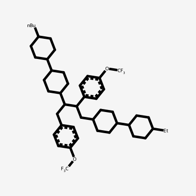 CCCCC1CCC(C2CCC(C(Cc3ccc(OC(F)(F)F)cc3)C(CC3CCC(C4CCC(CC)CC4)CC3)c3ccc(OC(F)(F)F)cc3)CC2)CC1